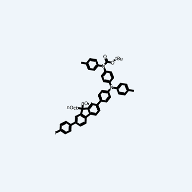 CCCCCCCCC1(CCCCCCCC)c2cc(-c3ccc(I)cc3)ccc2-c2ccc(-c3ccc(N(c4ccc(C)cc4)c4ccc(N(C(=O)OC(C)(C)C)c5ccc(C)cc5)cc4)cc3)cc21